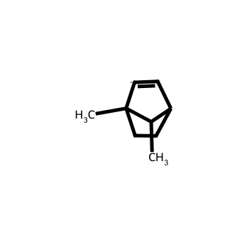 CC1C2C=[C]C1(C)CC2